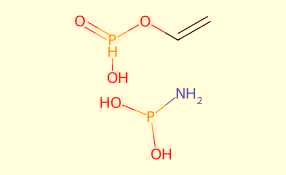 C=CO[PH](=O)O.NP(O)O